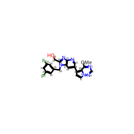 COc1ncnn2ccc(-c3cnc4nc(CO)n(Cc5cc(F)cc(F)c5)c4c3)c12